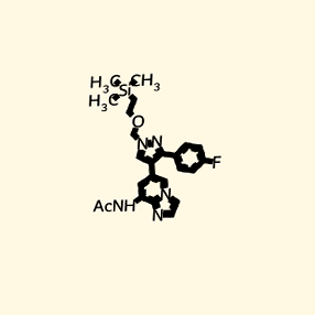 CC(=O)Nc1cc(-c2cn(COCC[Si](C)(C)C)nc2-c2ccc(F)cc2)cn2ccnc12